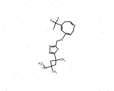 CNC1(C)CC(C)(c2nnc(COC3=C/C/N=C\C/C(C(F)(F)F)=C\3)o2)C1